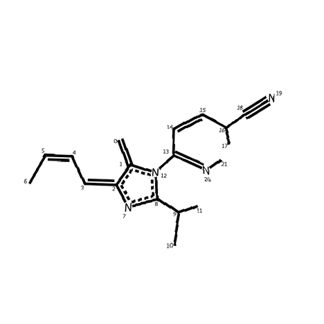 C=c1/c(=C\C=C/C)nc(C(C)C)n1C(/C=C\C(C)C#N)=N/C